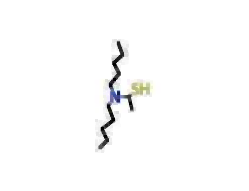 CCCCCN(CCCCC)C(C)S